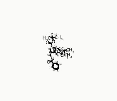 CC(C)(C)OC(=O)N1C[C@H](COC(=O)c2ccccc2)[C@@H](O[Si](C)(C)C(C)(C)C)C1